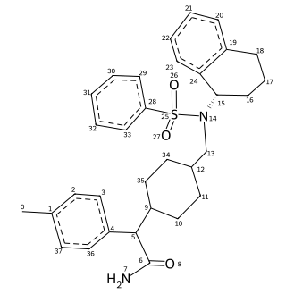 Cc1ccc(C(C(N)=O)C2CCC(CN([C@H]3CCCc4ccccc43)S(=O)(=O)c3ccccc3)CC2)cc1